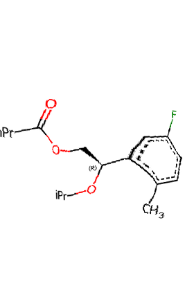 CCCC(=O)OC[C@H](OC(C)C)c1cc(F)ccc1C